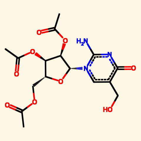 CC(=O)OC[C@H]1O[C@@H](n2cc(CO)c(=O)nc2N)[C@H](OC(C)=O)[C@@H]1OC(C)=O